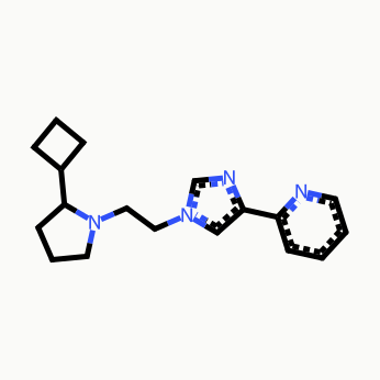 c1ccc(-c2cn(CCN3CCCC3C3CCC3)cn2)nc1